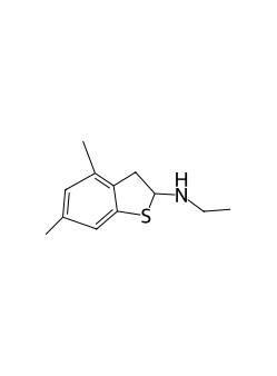 CCNC1Cc2c(C)cc(C)cc2S1